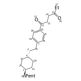 CCCCC[C@H]1CC[C@H](CCc2ccc(C(=O)CCC(=O)CC)cc2)CC1